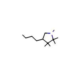 [2H]N1CC(CCCC)C([2H])(C)C1([2H])[2H]